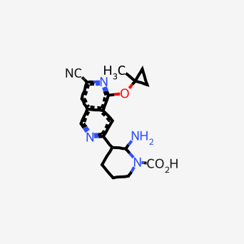 CC1(Oc2nc(C#N)cc3cnc(C4CCCN(C(=O)O)C4N)cc23)CC1